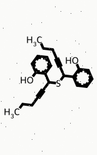 CCCC#CC(SC(C#CCCC)c1ccccc1O)c1ccccc1O